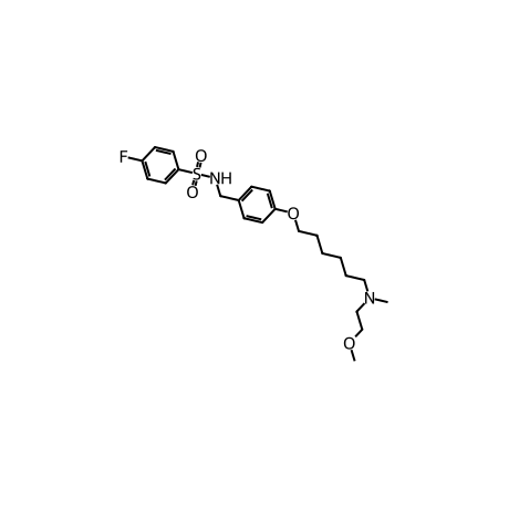 COCCN(C)CCCCCCOc1ccc(CNS(=O)(=O)c2ccc(F)cc2)cc1